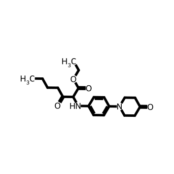 CCCCC(=O)C(Nc1ccc(N2CCC(=O)CC2)cc1)C(=O)OCC